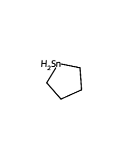 C1C[CH2][SnH2][CH2]1